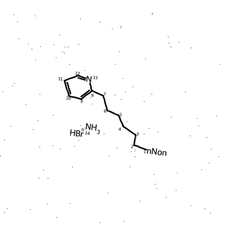 Br.CCCCCCCCCCCCCCCc1ccccn1.N